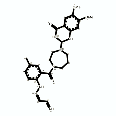 COc1cc2c(cc1OC)C(=O)NC(N1CCCN(C(=O)c3cc(C)ccc3N/N=C\C=N)CC1)N2